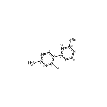 Cc1nc(N)ncc1-c1ccnc(C(C)(C)C)n1